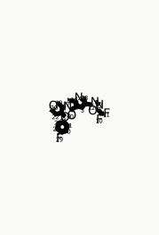 O=C1c2cc(-c3nnc(C(F)F)o3)cnc2CN1C1COCCC1Oc1ccc(F)cc1